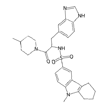 CC1CCN(C(=O)C(Cc2ccc3[nH]cnc3c2)NS(=O)(=O)c2ccc3c(c2)c2c(n3C)CCCC2)CC1